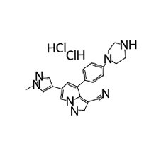 Cl.Cl.Cn1cc(-c2cc(-c3ccc(N4CCNCC4)cc3)c3c(C#N)cnn3c2)cn1